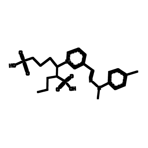 CCCC(C(CCCS(=O)(=O)O)[n+]1cccc(C=NN(C)c2ccc(C)cc2)c1)S(=O)(=O)O